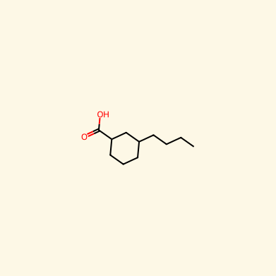 CCCCC1CCCC(C(=O)O)C1